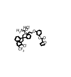 Cl.NC(=O)N(CCCOc1cccc(OC(=O)c2ccco2)c1)CC(Cc1cccc(C(F)(F)F)c1Cl)(c1ccccc1)c1ccccc1